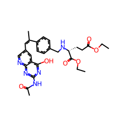 CCOC(=O)CC[C@@H](NCc1ccc(C(C)=Cc2cnc3nc(NC(C)=O)nc(O)c3c2)cc1)C(=O)OCC